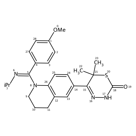 COc1ccc(/C(=N/C(C)C)N2CCCc3cc(C4=NNC(=O)SC4(C)C)ccc32)cc1